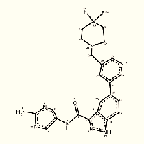 Nc1ncc(NC(=O)c2n[nH]c3ccc(-c4cncc(CN5CCC(F)(F)CC5)c4)cc23)cn1